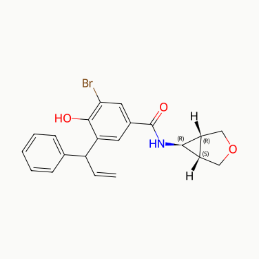 C=CC(c1ccccc1)c1cc(C(=O)N[C@H]2[C@@H]3COC[C@@H]32)cc(Br)c1O